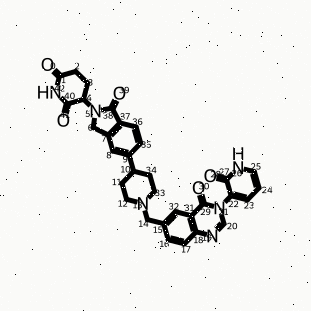 O=C1CCC(N2Cc3cc(C4CCN(Cc5ccc6ncn(-c7ccc[nH]c7=O)c(=O)c6c5)CC4)ccc3C2=O)C(=O)N1